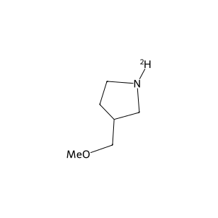 [2H]N1CCC(COC)C1